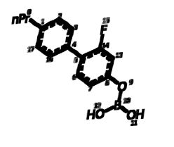 CCCc1ccc(-c2ccc(OB(O)O)cc2F)cc1